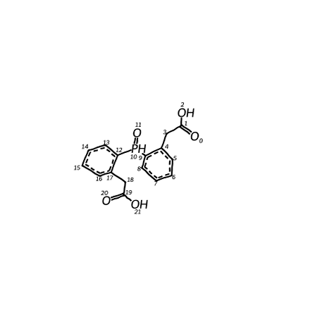 O=C(O)Cc1ccccc1[PH](=O)c1ccccc1CC(=O)O